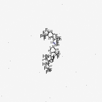 C[C@@H](NC(=O)c1ccc(/C(F)=C/C(c2ccc(F)c(C(F)(F)F)c2)C(F)(F)F)cc1C(F)(F)F)C(=O)NCC(F)(F)F